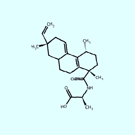 C=C[C@]1(C)CC=C2C3=C(CCC2C1)[C@@](C)(C(=O)N[C@@H](C)C(=O)O)CC[C@H]3C